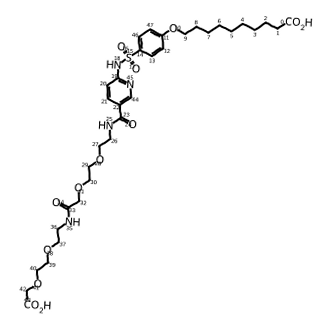 O=C(O)CCCCCCCCCOc1ccc(S(=O)(=O)Nc2ccc(C(=O)NCCOCCOCC(=O)NCCOCCOCC(=O)O)cn2)cc1